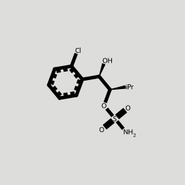 CC(C)[C@@H](OS(N)(=O)=O)[C@H](O)c1ccccc1Cl